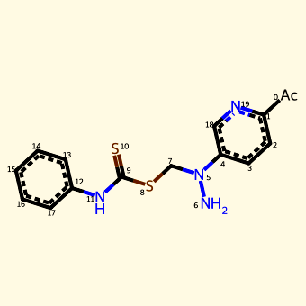 CC(=O)c1ccc(N(N)CSC(=S)Nc2ccccc2)cn1